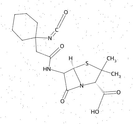 CC1(C)S[C@@H]2C(NC(=O)CC3(N=C=O)CCCCC3)C(=O)N2[C@H]1C(=O)O